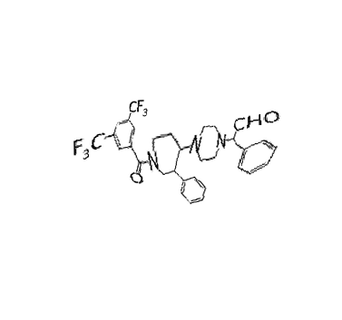 O=CC(c1ccccc1)N1CCN(C2CCN(C(=O)c3cc(C(F)(F)F)cc(C(F)(F)F)c3)CC2c2ccccc2)CC1